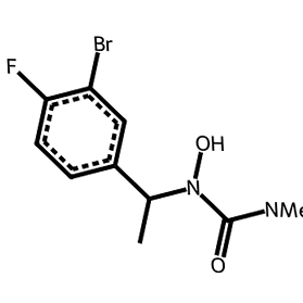 CNC(=O)N(O)C(C)c1ccc(F)c(Br)c1